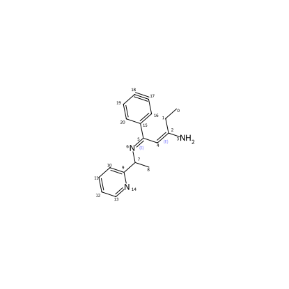 CC/C(N)=C\C(=N/C(C)c1ccccn1)c1cc#ccc1